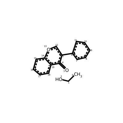 CCO.O=c1c(-c2ccccc2)coc2ccccc12